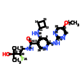 COc1cnc(Nc2cc(NC3CCC3)c(C(=O)NCC(F)C(C)(C)O)cn2)nc1